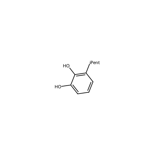 CCCC(C)c1cccc(O)c1O